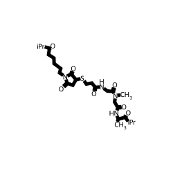 CC(C)C(=O)CCCCCN1C(=O)CC(SCCC(=O)NCC(=O)N(C)CC(=O)NC(C)C(=O)C(C)C)C1=O